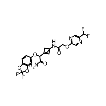 NC(=O)C(Oc1ccc2c(c1)OC(F)(F)O2)C12CC(NC(=O)COc3cnc(C(F)F)cn3)(C1)C2